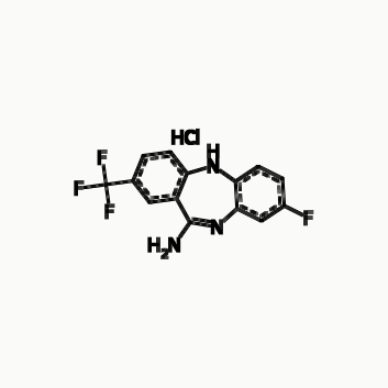 Cl.NC1=Nc2cc(F)ccc2Nc2ccc(C(F)(F)F)cc21